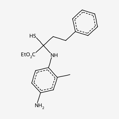 CCOC(=O)C(S)(CCc1ccccc1)Nc1ccc(N)cc1C